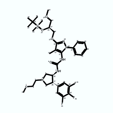 COCCN1C[C@@H](NC(=O)Nc2c(C)c(OC[C@H](COC)O[Si](C)(C)C(C)(C)C)nn2-c2ccccc2)[C@H](c2cc(F)c(F)c(F)c2)C1